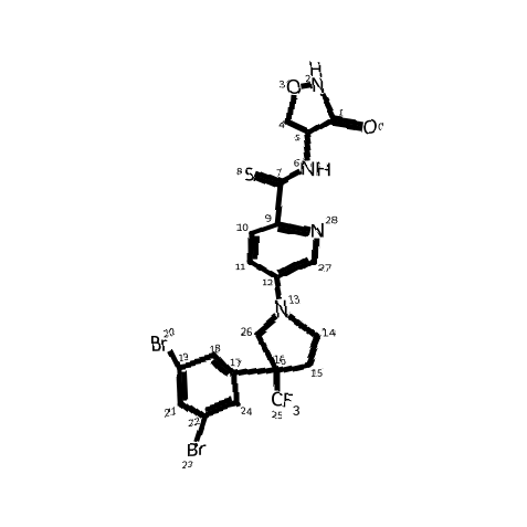 O=C1NOCC1NC(=S)c1ccc(N2CCC(c3cc(Br)cc(Br)c3)(C(F)(F)F)C2)cn1